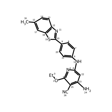 CCOc1nc(Nc2ccc(-c3nc4ccc(C)cc4s3)cc2)cc(N)c1C#N